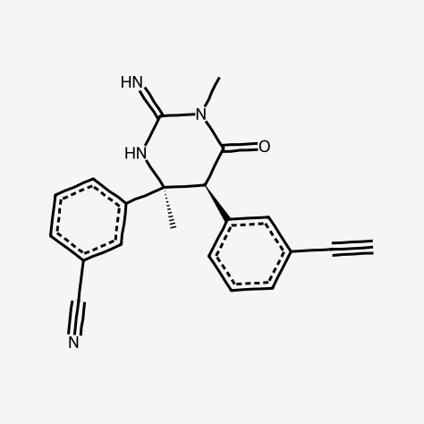 C#Cc1cccc([C@@H]2C(=O)N(C)C(=N)N[C@]2(C)c2cccc(C#N)c2)c1